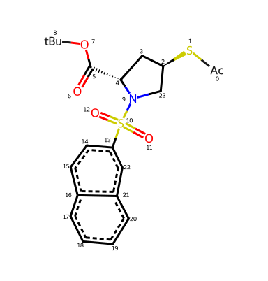 CC(=O)S[C@@H]1C[C@@H](C(=O)OC(C)(C)C)N(S(=O)(=O)c2ccc3ccccc3c2)C1